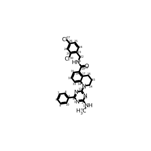 CNc1nc(-c2ccccc2)nc(N2CCCc3c(C(=O)NCc4ccc(Cl)cc4Cl)cccc32)n1